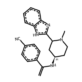 C=C(N[C@@H]1CCN(C)C(c2nc3ccccc3[nH]2)C1)c1ccc(C#N)cc1